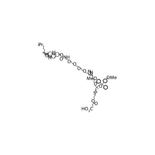 COc1ccc(C(OCC(C)(COCCCCn2cc(COCCOCCOCCOCCNC(=O)O[C@H]3CC[C@@]4(C)C(=CC[C@H]5[C@@H]6CC[C@H]([C@H](C)CCCC(C)C)[C@@]6(C)CC[C@@H]54)C3)nn2)CSSCCCOC(=O)CCC(=O)O)(c2ccccc2)c2ccc(OC)cc2)cc1